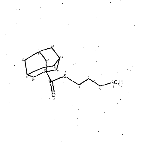 O=C(SCCCS(=O)(=O)O)C12CC3CC(CC(C3)C1)C2